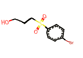 O=S(=O)(CCCO)c1ccc(Br)cc1